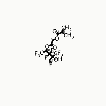 C=C(C)C(=O)OCC(=O)OC(C(F)(F)F)C(F)(F)C(O)(CF)C(F)(F)F